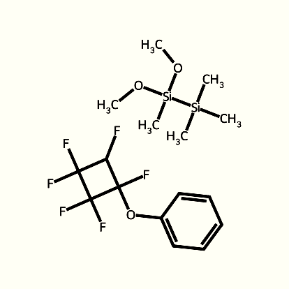 CO[Si](C)(OC)[Si](C)(C)C.FC1C(F)(F)C(F)(F)C1(F)Oc1ccccc1